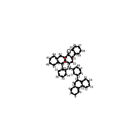 c1cc(-c2cc3ccccc3c3ccccc23)cc(N(c2ccc3oc4ccccc4c3c2)c2ccccc2-c2cccc3ccccc23)c1